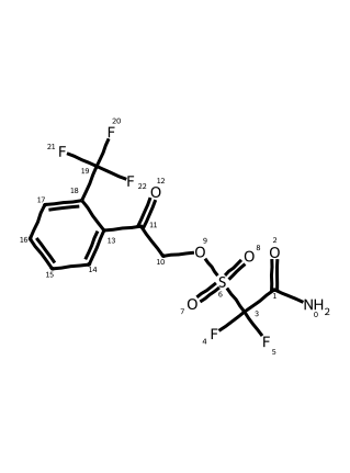 NC(=O)C(F)(F)S(=O)(=O)OCC(=O)c1ccccc1C(F)(F)F